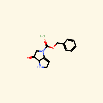 Cl.O=C1CN(C(=O)OCc2ccccc2)C2=CCNC12